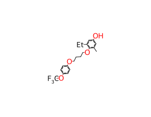 CCc1cc(O)cc(C)c1OCCCCOc1ccc(OC(F)(F)F)cc1